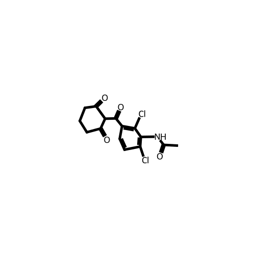 CC(=O)Nc1c(Cl)ccc(C(=O)C2C(=O)CCCC2=O)c1Cl